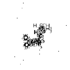 CC(C)(C)OC(=O)Nc1nc(C(=NOC(C)(C)C(=O)OC(c2ccccc2)c2ccccc2)C([NH])=O)cs1